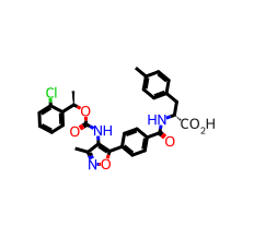 Cc1ccc(C[C@@H](NC(=O)c2ccc(-c3onc(C)c3NC(=O)O[C@H](C)c3ccccc3Cl)cc2)C(=O)O)cc1